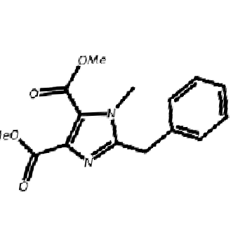 COC(=O)c1nc(Cc2ccccc2)n(C)c1C(=O)OC